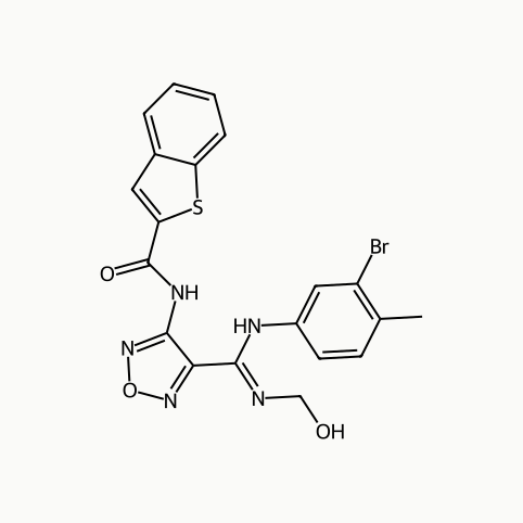 Cc1ccc(N/C(=N\CO)c2nonc2NC(=O)c2cc3ccccc3s2)cc1Br